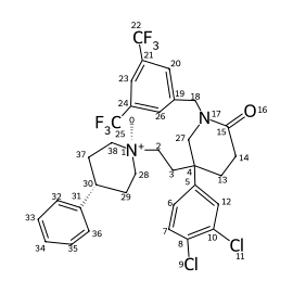 C[N@+]1(CCC2(c3ccc(Cl)c(Cl)c3)CCC(=O)N(Cc3cc(C(F)(F)F)cc(C(F)(F)F)c3)C2)CC[C@H](c2ccccc2)CC1